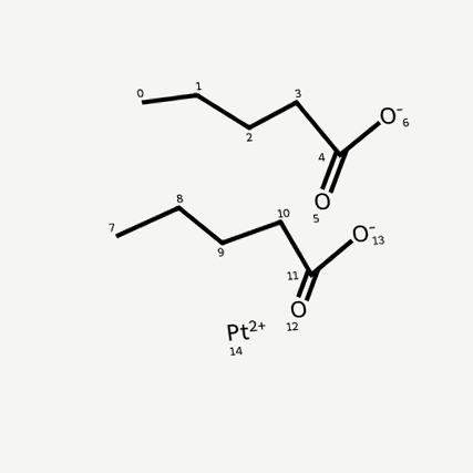 CCCCC(=O)[O-].CCCCC(=O)[O-].[Pt+2]